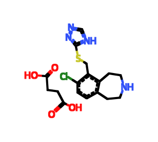 Clc1ccc2c(c1CSc1nnc[nH]1)CCNCC2.O=C(O)CCC(=O)O